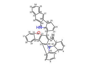 B1c2cccc3c4cccc5c6c7c(oc8ccccc87)c(-c7cccc8c7[nH]c7cc9ccccc9cc78)c1c6n(c23)c45